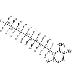 Cc1c(Br)ccc(Br)c1C(F)(F)C(F)(F)C(F)(F)C(F)(F)C(F)(F)C(F)(F)C(F)(F)C(F)(F)C(F)(F)C(F)(F)F